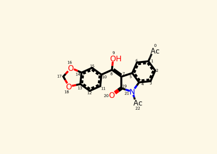 CC(=O)c1ccc2c(c1)C(=C(O)c1ccc3c(c1)OCO3)C(=O)N2C(C)=O